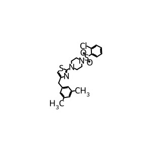 Cc1cc(C)cc(Cc2csc(N3CCN(S(=O)(=O)c4ccccc4Cl)CC3)n2)c1